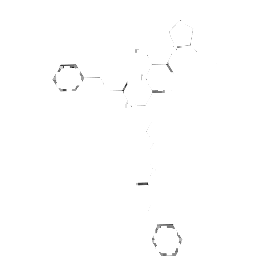 CC(C)[C@H](NC(=O)[C@H](CCCCNC(=O)OCc1ccccc1)NC(=O)OCc1ccccc1)C(=O)N1CCC[C@H]1C(=O)O